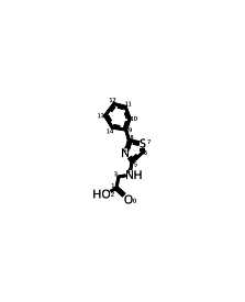 O=C(O)CNc1csc(-c2ccccc2)n1